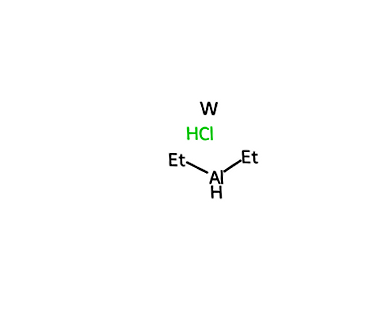 C[CH2][AlH][CH2]C.Cl.[W]